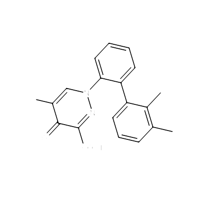 Cc1cccc(-c2ccccc2-n2cc(O)c(=O)c(C(=O)O)n2)c1C